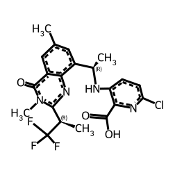 Cc1cc([C@@H](C)Nc2ccc(Cl)nc2C(=O)O)c2nc([C@@H](C)C(F)(F)F)n(C)c(=O)c2c1